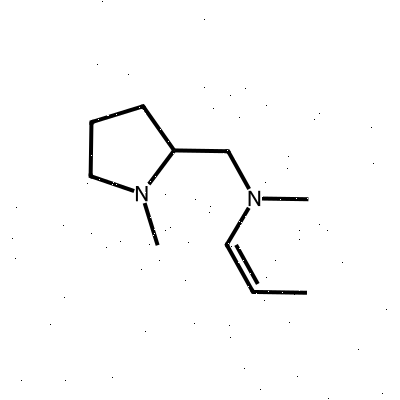 C/C=C\N(C)CC1CCCN1C